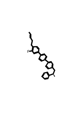 C/C=C/CCc1ccc(-c2ccc(-c3ccc(C[C@@H](C)c4ccccc4)cc3)cc2)cc1F